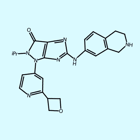 CC(C)n1c(=O)c2cnc(Nc3ccc4c(c3)CNCC4)nc2n1-c1ccnc(C2COC2)c1